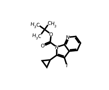 CC(C)(C)OC(=O)n1c(C2CC2)c(I)c2cccnc21